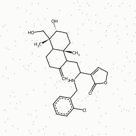 C=C1CCC2[C@](C)(CC[C@@H](O)[C@@]2(C)CO)C1CC(NCc1ccccc1Cl)C1=CCOC1=O